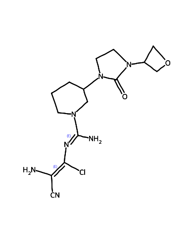 N#C/C(N)=C(Cl)/N=C(\N)N1CCCC(N2CCN(C3COC3)C2=O)C1